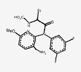 CCC(NC(=O)O)C(=O)N(c1cc(F)cc(F)c1)c1nc(OC)ccc1N